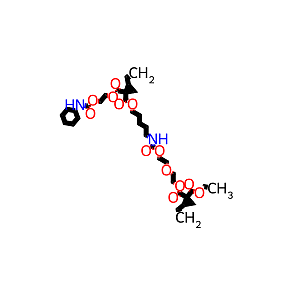 C=CC1CC1(C(=O)OCC)C(=O)OCCOCCOC(=O)NCCCCCOC(=O)C1(C(=O)OCCOC(=O)NC2CCCCC2)CC1C=C